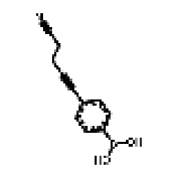 N#CCCC#Cc1ccc(B(O)O)cc1